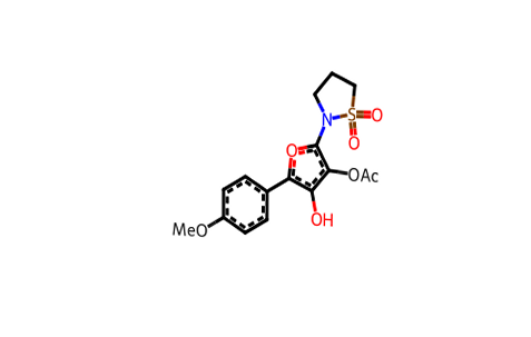 COc1ccc(-c2oc(N3CCCS3(=O)=O)c(OC(C)=O)c2O)cc1